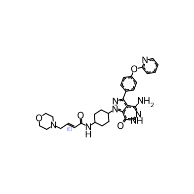 Nc1n[nH]c(=O)c2c1c(-c1ccc(Oc3ccccn3)cc1)nn2C1CCC(NC(=O)/C=C/CN2CCOCC2)CC1